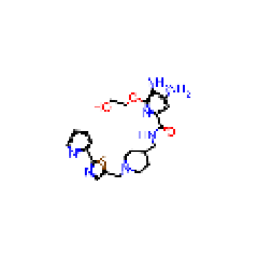 Nc1cc(C(=O)NCC2CCN(Cc3cnc(-c4ccccn4)s3)CC2)nc(OCCO)c1N